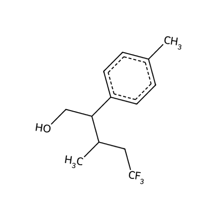 Cc1ccc(C(CO)C(C)CC(F)(F)F)cc1